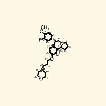 COc1ccc([C@@H]2CN3CCC[C@H]3c3cc(OCCCN4CCOCC4)ccc32)cc1F